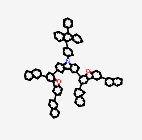 c1ccc(-c2c3ccccc3c(-c3ccc(-n4c5ccc(-c6cc(-c7ccc8ccccc8c7)cc7c6oc6ccc(-c8ccc9ccccc9c8)cc67)cc5c5cc(-c6cc(-c7ccc8ccccc8c7)cc7c6oc6ccc(-c8ccc9ccccc9c8)cc67)ccc54)cc3)c3ccccc23)cc1